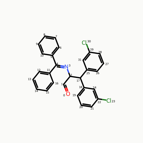 O=CC(N=C(c1ccccc1)c1ccccc1)C(c1cccc(Cl)c1)c1cccc(Cl)c1